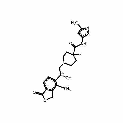 Cc1cc(NC(=O)C2(F)CCN(C[C@H](O)c3ccc4c(c3C)COC4=O)CC2)sn1